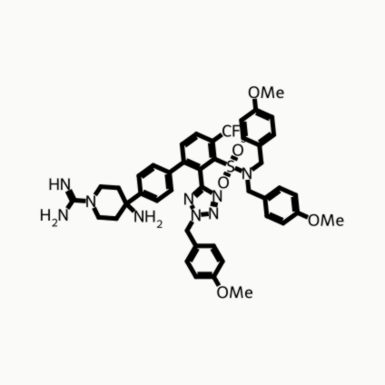 COc1ccc(CN(Cc2ccc(OC)cc2)S(=O)(=O)c2c(C(F)(F)F)ccc(-c3ccc(C4(N)CCN(C(=N)N)CC4)cc3)c2-c2nnn(Cc3ccc(OC)cc3)n2)cc1